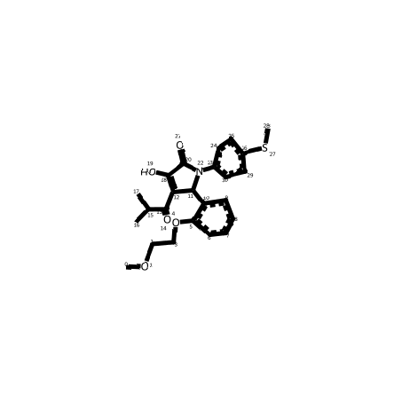 COCCOc1ccccc1C1C(C(=O)C(C)C)=C(O)C(=O)N1c1ccc(SC)cc1